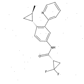 C[C@@H]1C[C@H]1c1ccc(NC(=O)[C@@H]2CC2(F)F)cc1-c1ccccn1